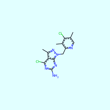 Cc1cnc(Cn2nc(C)c3c(Cl)nc(N)nc32)c(C)c1Cl